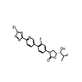 CCn1nnc(-c2ccc(-c3ccc(N4C[C@H](C(O)C(F)F)OC4=O)cc3F)cn2)n1